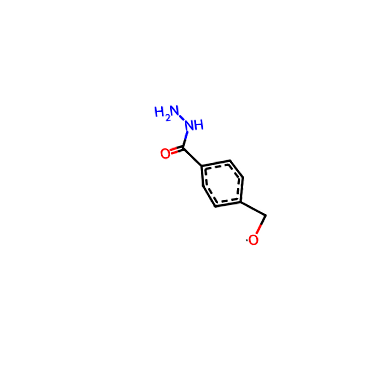 NNC(=O)c1ccc(C[O])cc1